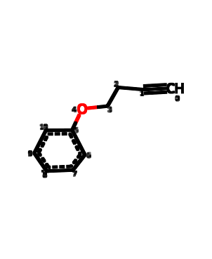 C#CCCOc1cc[c]cc1